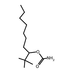 CCCCCCCC(OC(N)=O)C(C)(C)C